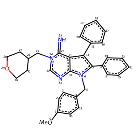 COc1ccc(Cn2c(-c3ccccc3)c(-c3ccccc3)c3c(=N)n(CC4CCOCC4)cnc32)cc1